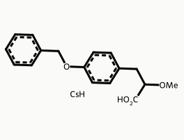 COC(Cc1ccc(OCc2ccccc2)cc1)C(=O)O.[CsH]